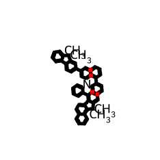 CC1(C)c2ccccc2-c2ccc(-c3cccc(N(c4ccccc4-c4ccccc4)c4ccccc4-c4cccc5c4-c4ccc6ccccc6c4C5(C)C)c3)cc21